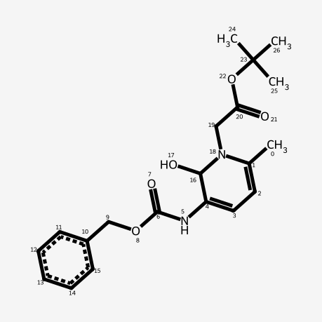 CC1=CC=C(NC(=O)OCc2ccccc2)C(O)N1CC(=O)OC(C)(C)C